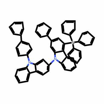 c1ccc(-c2ccc(-n3c4ccccc4c4ccc(-n5c6ccccc6c6c([Si](c7ccccc7)(c7ccccc7)c7ccccc7)cc(-c7ccccc7)cc65)cc43)cc2)cc1